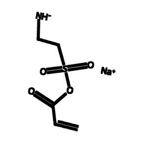 C=CC(=O)OS(=O)(=O)CC[NH-].[Na+]